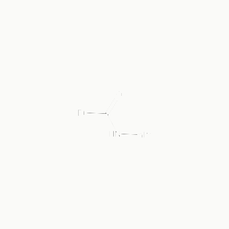 [CH2]CC(=O)NCCC